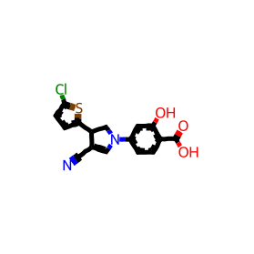 N#CC1=CN(c2ccc(C(=O)O)c(O)c2)CC1c1ccc(Cl)s1